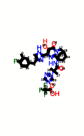 Cc1cc(Cc2c[nH]c(-c3nc4n(c(=O)c3O)CC3CCC4(NC(=O)C(C)(C)n4cncn4)CC3)n2)ccc1F.O=C(O)C(F)(F)F